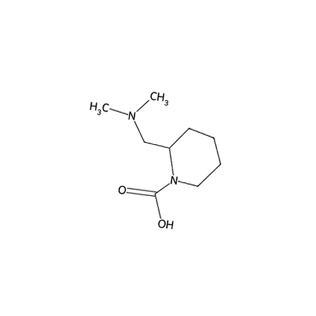 CN(C)CC1CCCCN1C(=O)O